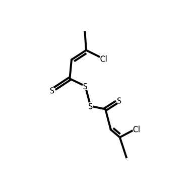 CC(Cl)=CC(=S)SSC(=S)C=C(C)Cl